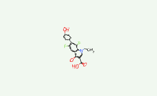 CCn1cc(C(=O)O)c(=O)c2cc(F)c(-c3ccc(O)cc3)c(F)c21